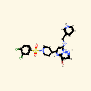 O=S(=O)(c1ccc(Cl)c(Cl)c1)N1CCC(c2cc(NCc3cccnc3)n3ncc(Br)c3n2)CC1